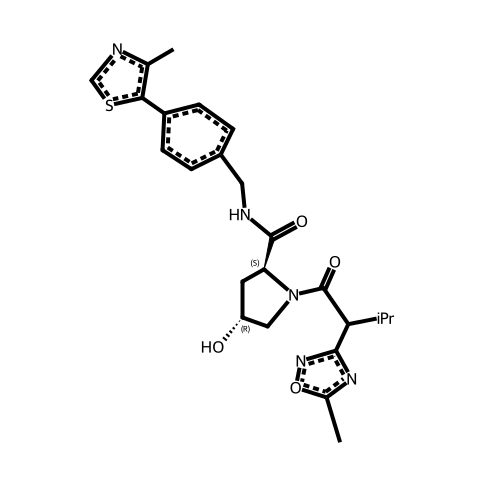 Cc1nc(C(C(=O)N2C[C@H](O)C[C@H]2C(=O)NCc2ccc(-c3scnc3C)cc2)C(C)C)no1